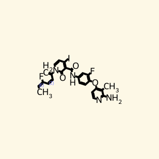 C=C(/C=C\C(F)=C/C)n1ccc(I)c(C(=O)Nc2ccc(Oc3ccnc(N)c3C)c(F)c2)c1=O